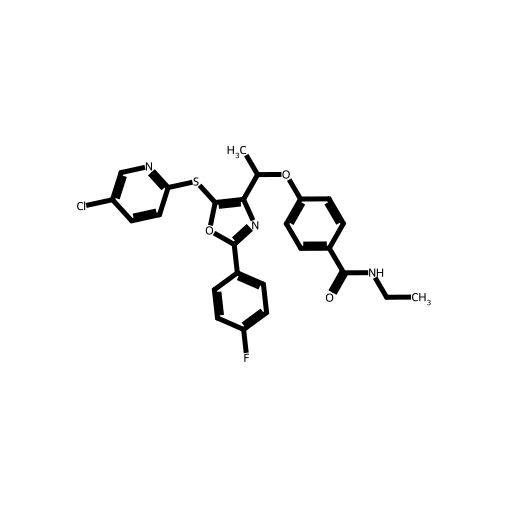 CCNC(=O)c1ccc(OC(C)c2nc(-c3ccc(F)cc3)oc2Sc2ccc(Cl)cn2)cc1